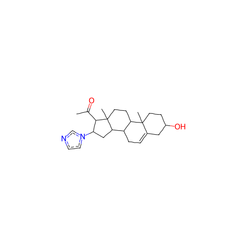 CC(=O)C1C(n2ccnc2)CC2C3CC=C4CC(O)CCC4(C)C3CCC21C